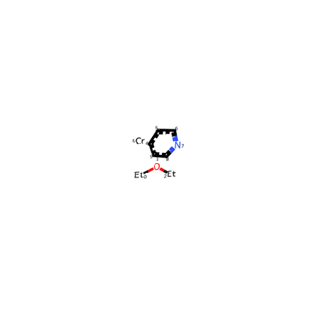 CCOCC.[Cr].c1ccncc1